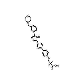 CC(C)(COc1ccc(-c2ccc(-c3ncc(-c4cccc(CN5CCOCC5)c4)[nH]3)cn2)cc1)C(=O)O